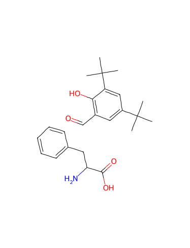 CC(C)(C)c1cc(C=O)c(O)c(C(C)(C)C)c1.NC(Cc1ccccc1)C(=O)O